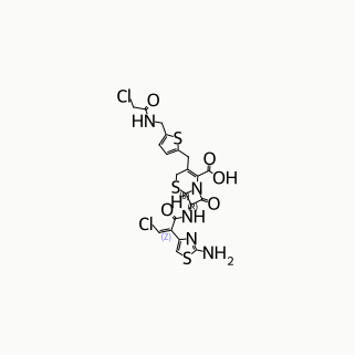 Nc1nc(/C(=C/Cl)C(=O)N[C@@H]2C(=O)N3C(C(=O)O)=C(Cc4ccc(CNC(=O)CCl)s4)CS[C@@H]23)cs1